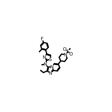 CCc1nc2ccc(C3CCN(S(C)(=O)=O)CC3)cn2c1N(C)c1nc(-c2ccc(F)cc2C)cs1